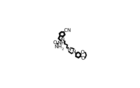 N#Cc1ccc2cc(NC(N)=O)n(CCCCN3CCN(c4ccc5c(c4)OCCCO5)CC3)c2c1